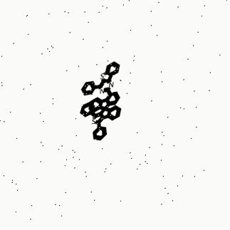 c1ccc(-c2sc(-c3ccccc3)c3c2-c2ccccc2C32c3ccccc3-c3c(-c4nc(-c5ccccc5)c5sc6ccccc6c5n4)cccc32)cc1